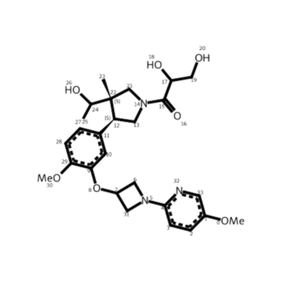 COc1ccc(N2CC(Oc3cc([C@@H]4CN(C(=O)C(O)CO)C[C@@]4(C)C(C)O)ccc3OC)C2)nc1